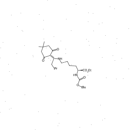 CCOC(=O)[C@H](CCCCNC(CC(C)C)=C1C(=O)CC(C)(C)CC1=O)NC(=O)OC(C)(C)C